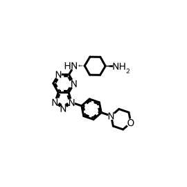 N[C@H]1CC[C@H](Nc2ncc3nnn(-c4ccc(N5CCOCC5)cc4)c3n2)CC1